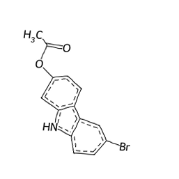 CC(=O)Oc1ccc2c(c1)[nH]c1ccc(Br)cc12